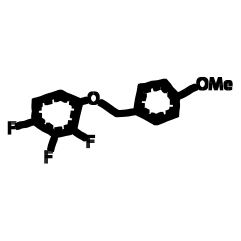 COc1ccc(COc2ccc(F)c(F)c2F)cc1